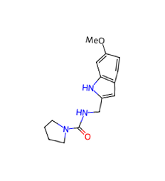 COc1ccc2cc(CNC(=O)N3CCCC3)[nH]c2c1